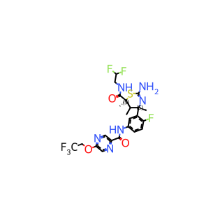 CC1[C@@](C)(C(=O)NCC(F)F)SC(N)=N[C@]1(C)c1cc(NC(=O)c2cnc(OCC(F)(F)F)cn2)ccc1F